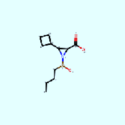 CCCC[S+]([O-])N1C(C(=O)O)C1C1CCC1